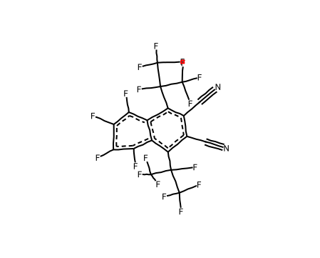 N#Cc1c(C#N)c(C(F)(C(F)(F)F)C(F)(F)F)c2c(F)c(F)c(F)c(F)c2c1C(F)(C(F)(F)F)C(F)(F)F